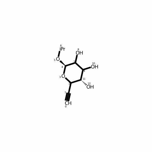 C#CC1O[C@@H](OC(C)C)C(O)C(O)[C@@H]1O